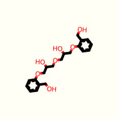 OCc1ccccc1OCC(O)COCC(O)COc1ccccc1CO